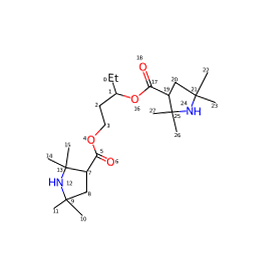 CCC(CCOC(=O)C1CC(C)(C)NC1(C)C)OC(=O)C1CC(C)(C)NC1(C)C